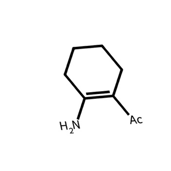 CC(=O)C1=C(N)CCCC1